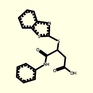 O=C(O)CC(Sc1nc2ccccc2s1)C(=O)Nc1ccccc1